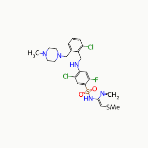 C=N/C(=C\SC)NS(=O)(=O)c1cc(Cl)c(NCc2c(Cl)cccc2CN2CCN(C)CC2)cc1F